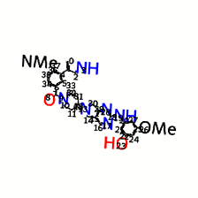 C=C(C=N)c1cc(C(=O)N2CC[C@@H](N3Cc4cnc(Nc5cc(O)cc(OC)c5)nc4C3)C[C@H]2C)ccc1NC